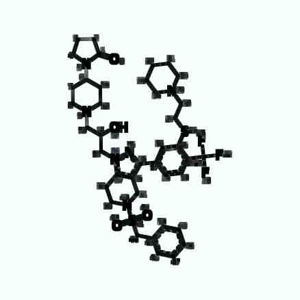 O=C1CCCN1C1CCN(CC(O)Cn2nc(-c3ccc(C(F)(F)F)c(SCCN4CCCCC4)c3)c3c2CCN(S(=O)(=O)Cc2ccccc2)C3)CC1